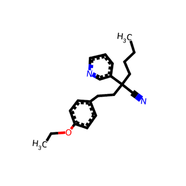 CCCCC(C#N)(CCc1ccc(OCC)cc1)c1cccnc1